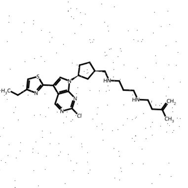 C=C(C)CCNCCCNC[C@@H]1CC[C@H](n2cc(-c3nc(CC)cs3)c3cnc(Cl)nc32)C1